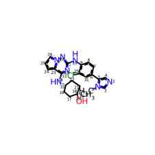 Cn1cncc1-c1ccc(Nc2nc(N[C@H]3CC[C@](C)(O)CC3)c3cccn3n2)c(Cl)c1